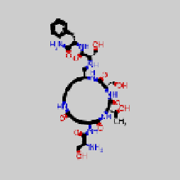 CC(O)[C@@H]1NC(=O)[C@@H](NC(=O)[C@@H](N)CO)CCC(=O)NCCCC[C@@H](CN[C@@H](CO)C(=O)N[C@@H](Cc2ccccc2)C(N)=O)NC(=O)[C@H](CO)NC1=O